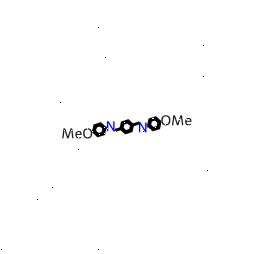 COc1ccc(/N=C/c2ccc(/C=N/c3ccc(OC)cc3)cc2)cc1